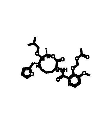 COc1ccnc(C(=O)N[C@H]2CCC[C@H](Cc3ccco3)[C@@H](OCC(C)C)[C@H](C)OC2=O)c1OCOC(C)=O